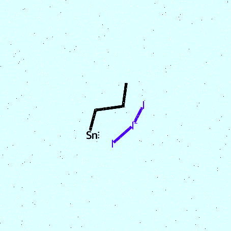 CC[CH2][Sn].I[I-]I